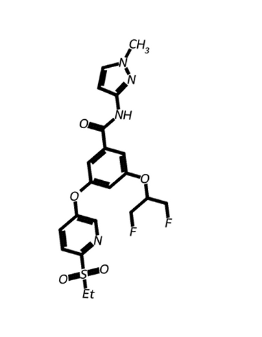 CCS(=O)(=O)c1ccc(Oc2cc(OC(CF)CF)cc(C(=O)Nc3ccn(C)n3)c2)cn1